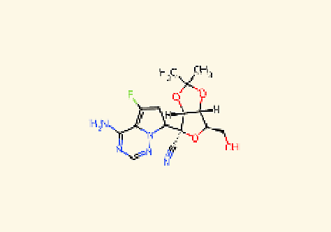 CC1(C)O[C@H]2[C@@H](O1)[C@](C#N)(C1CC(F)=C3C(N)=NC=NN31)O[C@@H]2CO